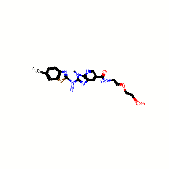 Cn1c(Nc2nc3ccc(C(F)(F)F)cc3s2)nc2cc(C(=O)NCCOCCO)cnc21